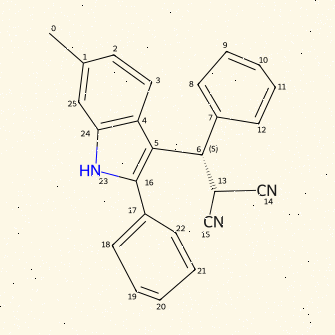 Cc1ccc2c([C@H](c3ccccc3)C(C#N)C#N)c(-c3ccccc3)[nH]c2c1